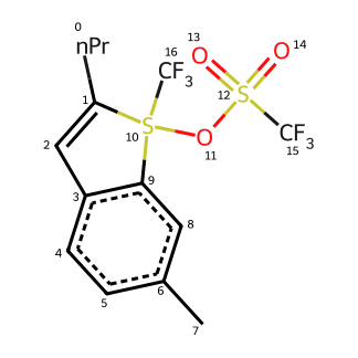 CCCC1=Cc2ccc(C)cc2S1(OS(=O)(=O)C(F)(F)F)C(F)(F)F